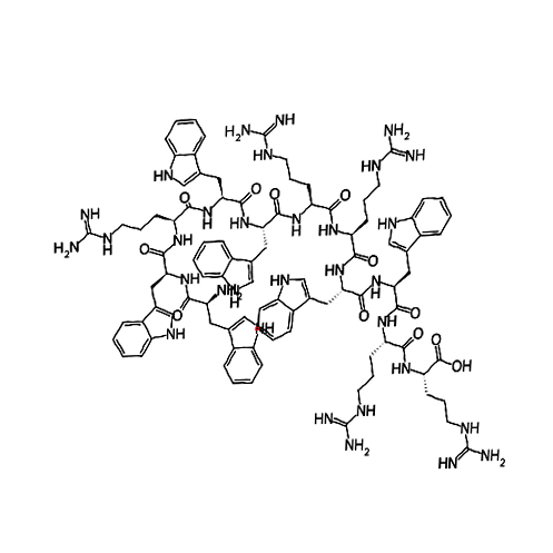 N=C(N)NCCC[C@H](NC(=O)[C@H](CCCNC(=N)N)NC(=O)[C@H](Cc1c[nH]c2ccccc12)NC(=O)[C@H](Cc1c[nH]c2ccccc12)NC(=O)[C@H](CCCNC(=N)N)NC(=O)[C@H](CCCNC(=N)N)NC(=O)[C@H](Cc1c[nH]c2ccccc12)NC(=O)[C@H](Cc1c[nH]c2ccccc12)NC(=O)[C@H](CCCNC(=N)N)NC(=O)[C@H](Cc1c[nH]c2ccccc12)NC(=O)[C@@H](N)Cc1c[nH]c2ccccc12)C(=O)O